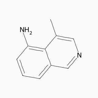 Cc1cncc2cccc(N)c12